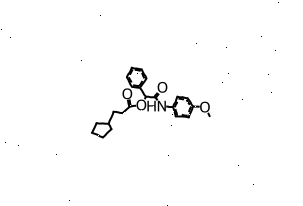 COc1ccc(NC(=O)C(OC(=O)CCC2CCCC2)c2ccccc2)cc1